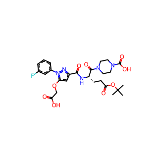 CC(C)(C)OC(=O)CC[C@H](NC(=O)c1cc(OCC(=O)O)n(-c2cccc(F)c2)n1)C(=O)N1CCN(C(=O)O)CC1